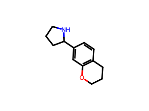 c1cc2c(cc1C1CCCN1)OCCC2